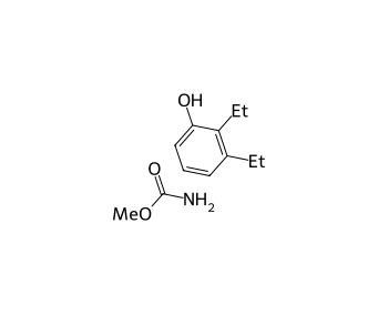 CCc1cccc(O)c1CC.COC(N)=O